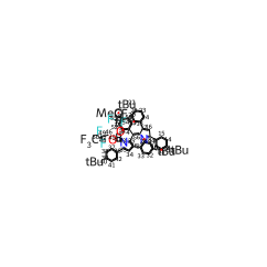 COc1ccc(/C(=C2/N=C(c3ccc(C(C)(C)C)cc3)C=C2c2ccc(C(C)(C)C)cc2)c2c(-c3ccc(C(C)(C)C)cc3)cc(-c3ccc(C(C)(C)C)cc3)n2B(OCC(F)(F)C(F)(F)F)OCC(F)(F)C(F)(F)F)cc1